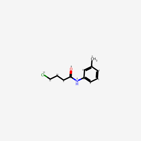 Cc1cccc(NC(=O)CCCCl)c1